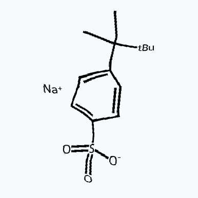 CC(C)(C)C(C)(C)c1ccc(S(=O)(=O)[O-])cc1.[Na+]